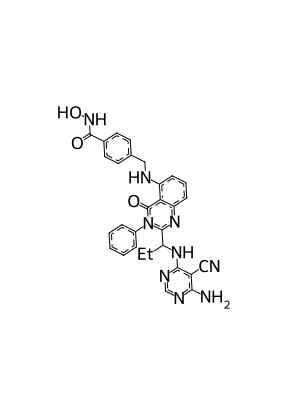 CCC(Nc1ncnc(N)c1C#N)c1nc2cccc(NCc3ccc(C(=O)NO)cc3)c2c(=O)n1-c1ccccc1